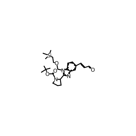 CC(C)(C)OC(=O)N1CCCC1c1nc2cc(C=CC=O)ccc2n1COCC[Si](C)(C)C